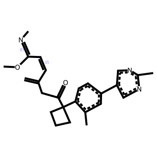 C=C(/C=C\C(=N/C)OC)CC(=O)C1(c2ccc(-c3cnc(C)nc3)cc2C)CCC1